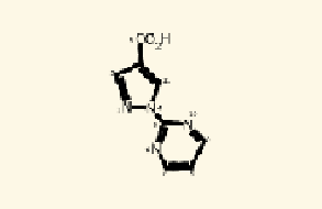 O=C(O)c1cnn(-c2ncccn2)c1